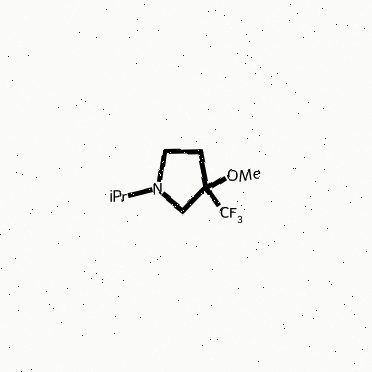 COC1(C(F)(F)F)CCN(C(C)C)C1